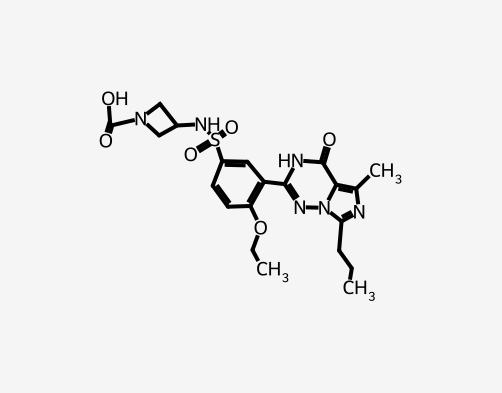 CCCc1nc(C)c2c(=O)[nH]c(-c3cc(S(=O)(=O)NC4CN(C(=O)O)C4)ccc3OCC)nn12